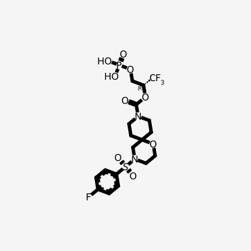 O=C(O[C@H](COP(=O)(O)O)C(F)(F)F)N1CCC2(CC1)CN(S(=O)(=O)c1ccc(F)cc1)CCO2